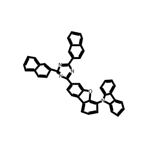 c1ccc2cc(-c3nc(-c4ccc5ccccc5c4)nc(-c4ccc5c(c4)oc4c(-n6c7ccccc7c7ccccc76)cccc45)n3)ccc2c1